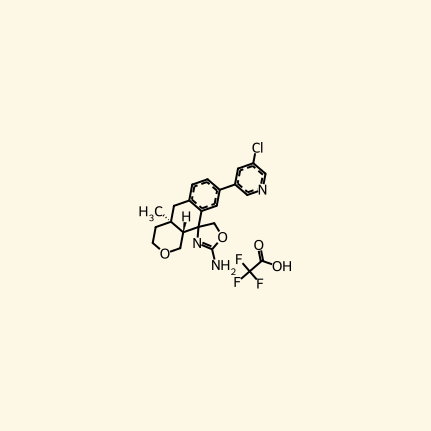 C[C@@]12CCOC[C@H]1C1(COC(N)=N1)c1cc(-c3cncc(Cl)c3)ccc1C2.O=C(O)C(F)(F)F